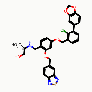 O=C(O)[C@@H](CO)NCc1ccc(OCc2cccc(-c3ccc4c(c3)OCO4)c2Cl)cc1OCc1ccc2nsnc2c1